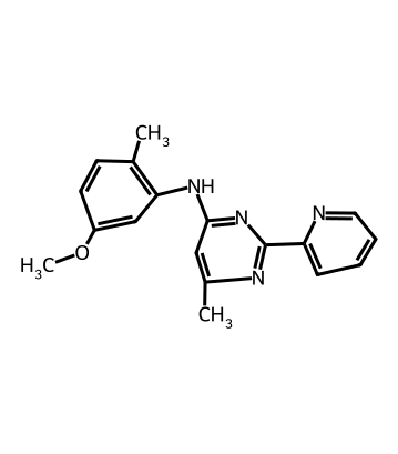 COc1ccc(C)c(Nc2cc(C)nc(-c3ccccn3)n2)c1